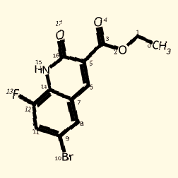 CCOC(=O)c1cc2cc(Br)cc(F)c2[nH]c1=O